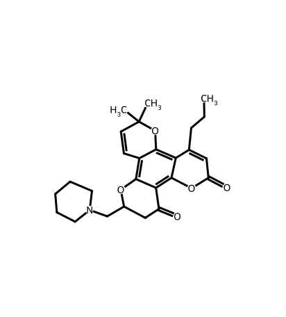 CCCc1cc(=O)oc2c3c(c4c(c12)OC(C)(C)C=C4)OC(CN1CCCCC1)CC3=O